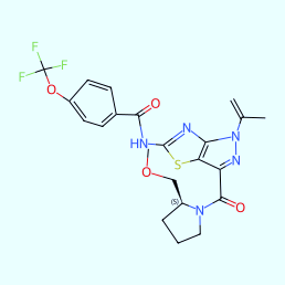 C=C(C)n1nc(C(=O)N2CCC[C@H]2COC)c2sc(NC(=O)c3ccc(OC(F)(F)F)cc3)nc21